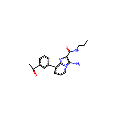 CCCNC(=O)c1nc2c(-c3cccc(C(C)=O)c3)cccn2c1N